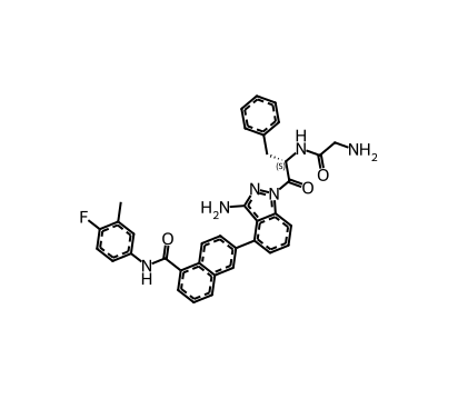 Cc1cc(NC(=O)c2cccc3cc(-c4cccc5c4c(N)nn5C(=O)[C@H](Cc4ccccc4)NC(=O)CN)ccc23)ccc1F